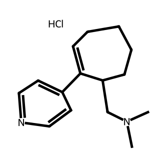 CN(C)CC1CCCCC=C1c1ccncc1.Cl